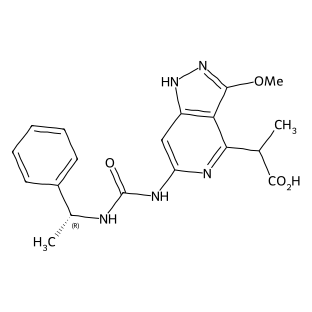 COc1n[nH]c2cc(NC(=O)N[C@H](C)c3ccccc3)nc(C(C)C(=O)O)c12